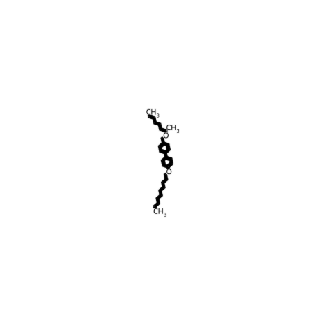 CCCCCCCCCCOc1ccc(-c2ccc(CO[C@@H](C)CCCCCC)cc2)cc1